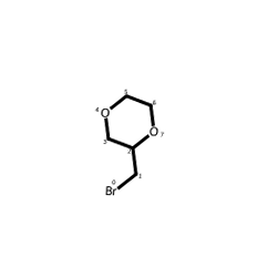 BrCC1COCCO1